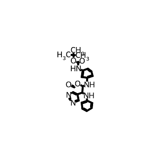 CC(C)(C)OC(=O)Nc1cccc(NC(OC=O)C(Nc2ccccc2)c2cncnc2)c1